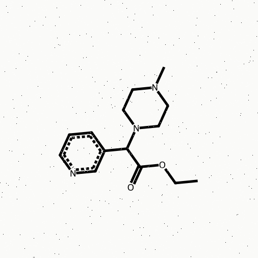 CCOC(=O)C(c1cccnc1)N1CCN(C)CC1